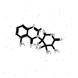 BC1C(=O)NC(=O)C(B)(n2c(C)nc3cccc(N)c3c2=O)C1(B)B